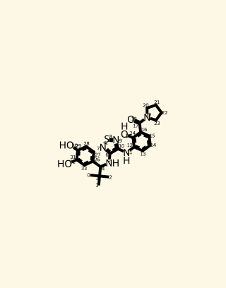 CC(C)(C)C(Nc1nsnc1Nc1cccc(C(=O)N2CCCC2)c1O)c1ccc(O)c(O)c1